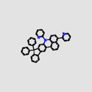 c1ccc(C2(c3ccccc3)c3ccccc3-c3cc4c(cc32)N(c2ccccn2)c2ccc(-c3ccccn3)c3cccc-4c23)cc1